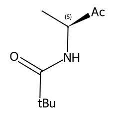 CC(=O)[C@H](C)NC(=O)C(C)(C)C